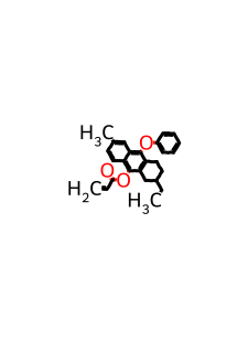 C=CC(=O)Oc1c2c(c(Oc3ccccc3)c3cc(C)ccc13)CCC(CC)C2